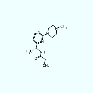 CCC(=O)N[C@H](C)c1ccnc(N2CCN(C)CC2)n1